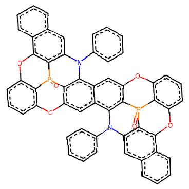 O=P12c3c4cccc3Oc3c1c(cc1ccccc31)N(c1ccccc1)c1c2c(cc2c3c5c(cc12)Oc1cccc2c1P5(=O)c1c(cc5ccccc5c1O2)N3c1ccccc1)O4